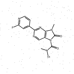 CCN(C)C(=O)n1c(=O)n(C)c2nc(-c3ccnc(F)c3)ncc21